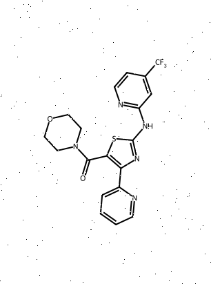 O=C(c1sc(Nc2cc(C(F)(F)F)ccn2)nc1-c1ccccn1)N1CCOCC1